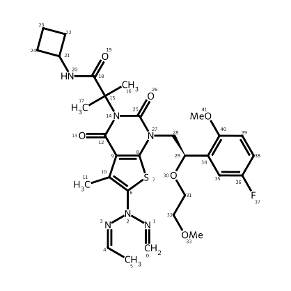 C=NN(/N=C\C)c1sc2c(c1C)c(=O)n(C(C)(C)C(=O)NC1CCC1)c(=O)n2C[C@H](OCCOC)c1cc(F)ccc1OC